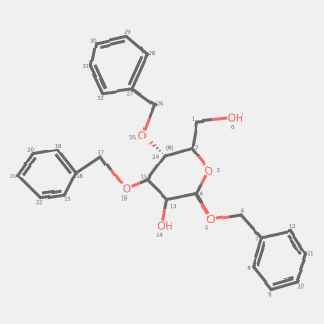 OCC1OC(OCc2ccccc2)C(O)C(OCc2ccccc2)[C@@H]1OCc1ccccc1